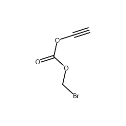 C#COC(=O)OCBr